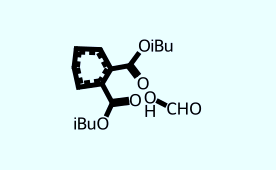 CC(C)COC(=O)c1ccccc1C(=O)OCC(C)C.O=CO